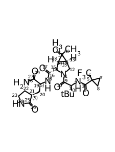 CC(C)(C)C(NC(=O)C1(C(F)(F)F)CC1)C(=O)N1C[C@H]2[C@@H]([C@H]1C(=O)N[C@@H](C[C@@H]1CCNC1=O)C(N)=O)C2(C)C